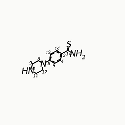 NC(=S)c1ccc(N2CCNCC2)cc1